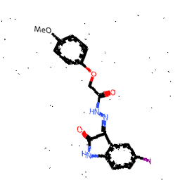 COc1ccc(OCC(=O)N/N=C2\C(=O)Nc3ccc(I)cc32)cc1